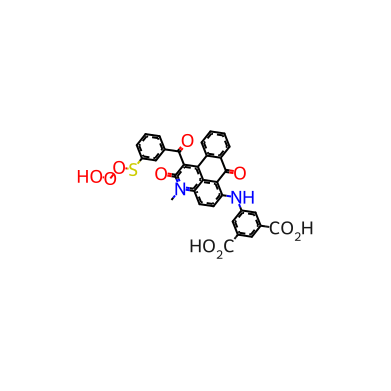 Cn1c(=O)c(C(=O)c2cccc(SOOO)c2)c2c3c(c(Nc4cc(C(=O)O)cc(C(=O)O)c4)ccc31)C(=O)c1ccccc1-2